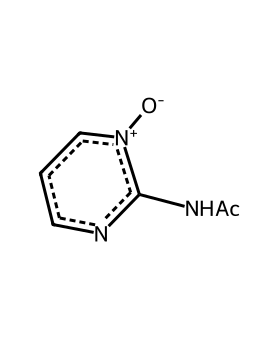 CC(=O)Nc1nccc[n+]1[O-]